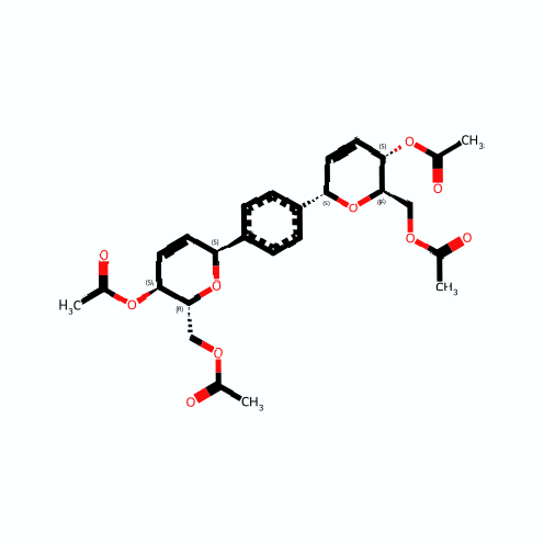 CC(=O)OC[C@H]1O[C@H](c2ccc([C@@H]3C=C[C@H](OC(C)=O)[C@@H](COC(C)=O)O3)cc2)C=C[C@@H]1OC(C)=O